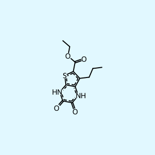 CCCc1c(C(=O)OCC)sc2[nH]c(=O)c(=O)[nH]c12